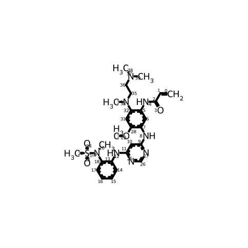 C=CC(=O)Nc1cc(Nc2cc(Nc3ccccc3N(C)S(C)(=O)=O)ncn2)c(OC)cc1N(C)CCN(C)C